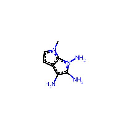 Cn1ccc2c(N)c(N)n(N)c21